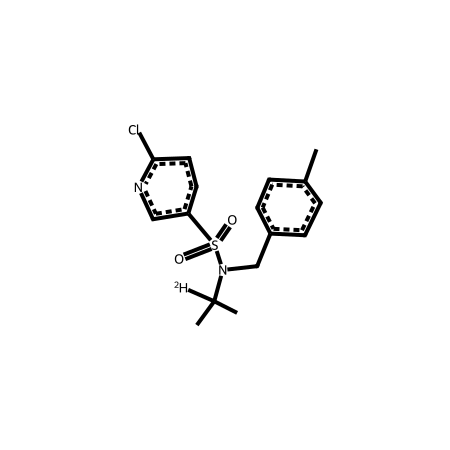 [2H]C(C)(C)N(Cc1ccc(C)cc1)S(=O)(=O)c1ccc(Cl)nc1